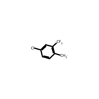 [CH2]c1ccc(Cl)cc1C(F)(F)F